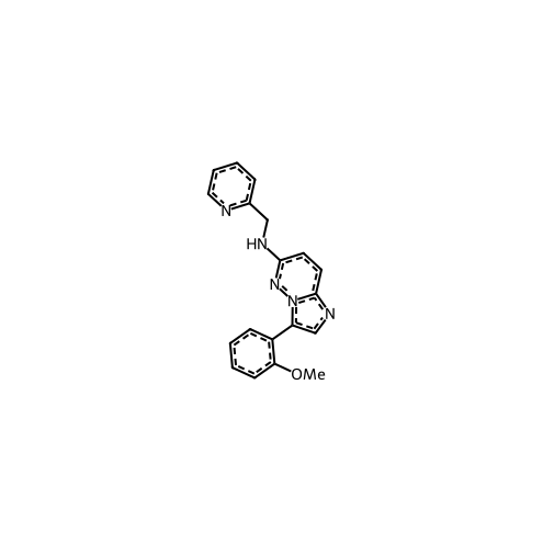 COc1ccccc1-c1cnc2ccc(NCc3ccccn3)nn12